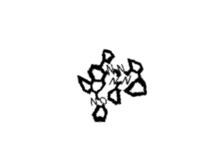 c1ccc(-c2nc(-c3ccccc3-c3ccccc3)nc(-n3c4ccccc4c4ccc5c(c43)CCC(c3nc4ccccc4o3)c3ccccc3-5)n2)cc1